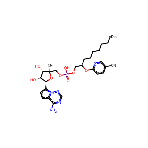 CCCCCCCCCCCCCCCC[C@H](COP(=O)(O)OC[C@@]1(C#N)O[C@@H](c2ccc3c(N)ncnn23)[C@H](O)[C@@H]1O)Oc1ccc(C#N)cn1